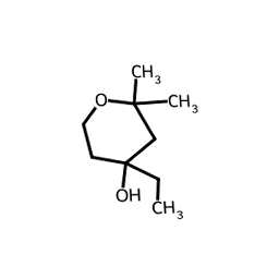 CCC1(O)CCOC(C)(C)C1